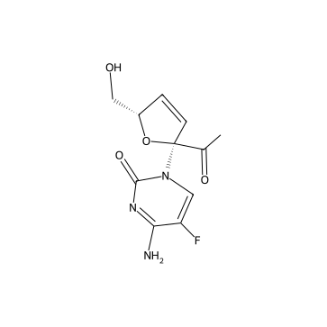 CC(=O)[C@]1(n2cc(F)c(N)nc2=O)C=C[C@@H](CO)O1